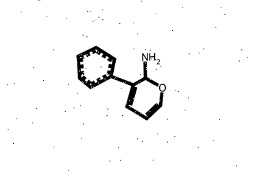 NC1OC=CC=C1c1ccccc1